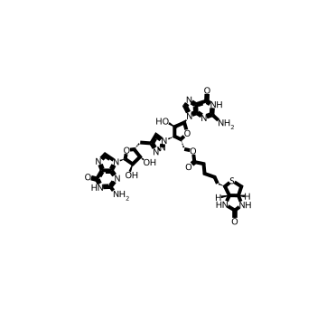 Nc1nc2c(ncn2[C@@H]2O[C@H](Cc3cn([C@@H]4[C@@H](O)[C@H](n5cnc6c(=O)[nH]c(N)nc65)O[C@@H]4COC(=O)CCCC[C@@H]4SC[C@@H]5NC(=O)N[C@@H]54)nn3)[C@H](O)[C@H]2O)c(=O)[nH]1